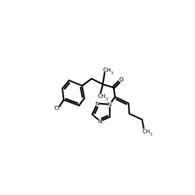 CCC/C=C(/C(=O)C(C)(C)Cc1ccc(Cl)cc1)n1cncn1